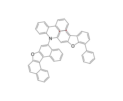 c1ccc(-c2ccccc2N(c2ccc3c(c2)oc2c(-c4ccccc4)cccc23)c2cc3oc4ccc5ccccc5c4c3c3ccccc23)cc1